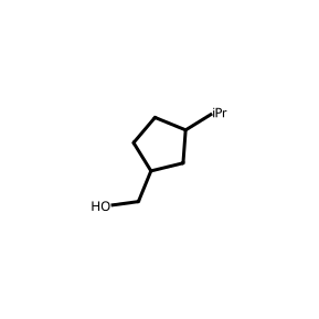 CC(C)C1CCC(CO)C1